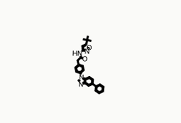 CC(C)(C)c1cc(NC(=O)Cc2ccc(-n3cnc4cc(-c5ccccc5)ccc43)cc2)no1